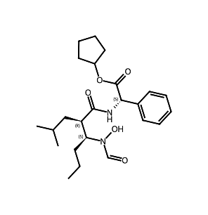 CCC[C@@H]([C@@H](CC(C)C)C(=O)N[C@H](C(=O)OC1CCCC1)c1ccccc1)N(O)C=O